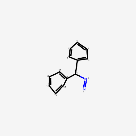 [N]=NC(c1ccccc1)c1ccccc1